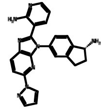 Nc1ncccc1-c1nc2ccc(-n3cccn3)nc2n1-c1ccc2c(c1)CC[C@H]2N